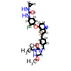 COCCN(Cc1ccc(-c2cc3nccc(Oc4ccc(NC(=O)NC5CC5)cc4F)c3s2)cc1)C(=O)NC(C)C